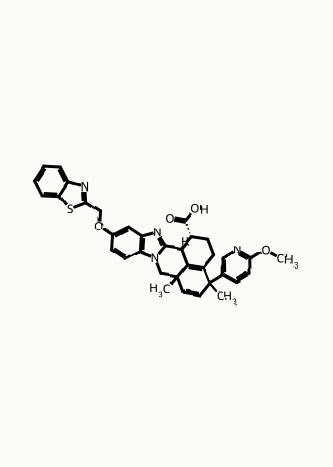 COc1ccc(C2(C)C=CC3(C)Cn4c(nc5cc(OCc6nc7ccccc7s6)ccc54)[C@H]4C3=C2CC[C@H]4C(=O)O)cn1